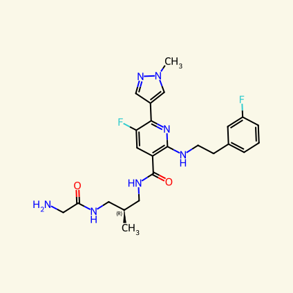 C[C@@H](CNC(=O)CN)CNC(=O)c1cc(F)c(-c2cnn(C)c2)nc1NCCc1cccc(F)c1